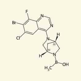 CB(O)N1C[C@@H]2C[C@H]1CN2c1ncnc2c(F)c(Br)c(Cl)cc12